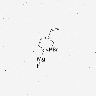 Br.C=Cc1cc[c]([Mg][F])cc1